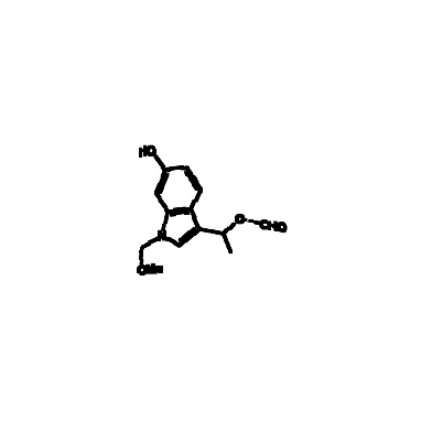 COCn1cc(C(C)OC=O)c2ccc(O)cc21